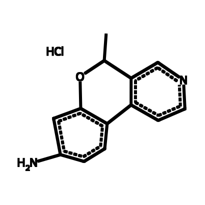 CC1Oc2cc(N)ccc2-c2ccncc21.Cl